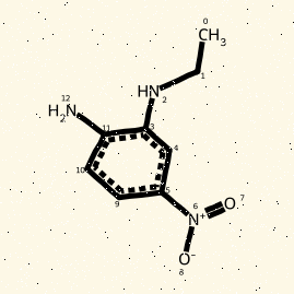 CCNc1cc([N+](=O)[O-])ccc1N